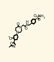 COc1cc(N2CCC(=O)N(CC(=O)NCc3ccc(S(N)(=O)=O)cc3)CC2)ccc1-c1cnc(C)o1